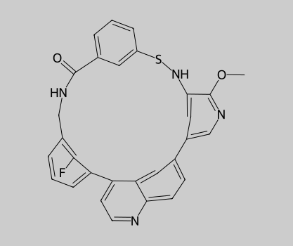 COc1ncc2cc1NSc1cccc(c1)C(=O)NCc1cccc(c1F)-c1ccnc3ccc-2cc13